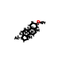 CC(=O)[C@H]1CC[C@H]2[C@@H]3CC[C@@H]4C[C@@H](OC(C)C)CC[C@]4(C)[C@H]3CC[C@]12C